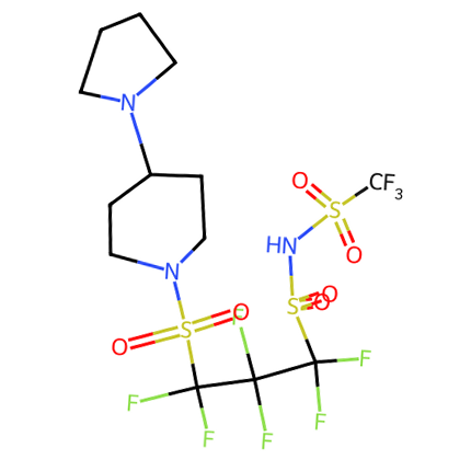 O=S(=O)(NS(=O)(=O)C(F)(F)C(F)(F)C(F)(F)S(=O)(=O)N1CCC(N2CCCC2)CC1)C(F)(F)F